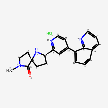 CN1CC[C@@]2(CC[C@H](c3cc(-c4cccc5cccnc45)ccn3)N2)C1=O.Cl